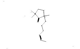 C/C=C\CCCC1(C)CCC(C)(C)C1=O